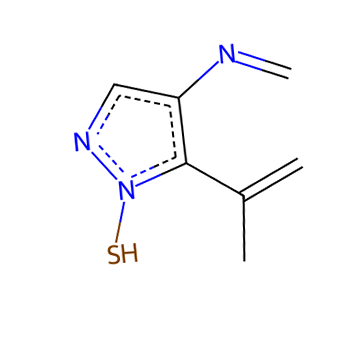 C=Nc1cnn(S)c1C(=C)C